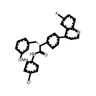 COc1cccc(C[C@@H](C(=O)Nc2ccc(Cl)cc2)c2ccc(-c3ccnc4ccc(F)cc34)cc2)c1